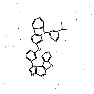 CC(C)c1ccnc(N2C3=CC(C=CC=C3)c3ccc(Oc4cccc(-n5cnc6ccc7oc8ccccc8c7c65)c4)cc32)c1